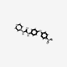 O=C(Nc1ccc(Oc2ccc([N+](=O)[O-])cc2)cc1)NN1CCOCC1